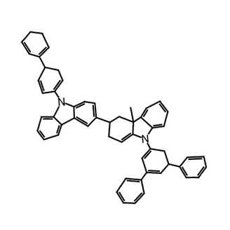 CC12CC(c3ccc4c(c3)c3ccccc3n4C3=CCC(C4=CCCC=C4)C=C3)CC=C1N(C1=CC(c3ccccc3)=CC(c3ccccc3)C1)c1ccccc12